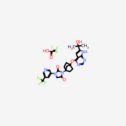 CC(C)(O)c1cc2c(OC34CCC(N5C(=O)CN(c6cncc(C(F)(F)F)c6)C5=O)(CC3)C4)ncnc2[nH]1.O=C(O)C(F)(F)F